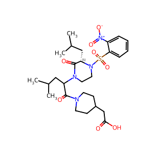 CC(C)CC(C(=O)N1CCC(CC(=O)O)CC1)N1CCN(S(=O)(=O)c2ccccc2[N+](=O)[O-])[C@@H](CC(C)C)C1=O